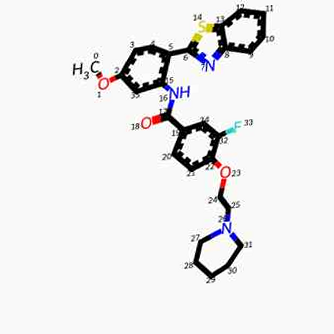 COc1ccc(-c2nc3ccccc3s2)c(NC(=O)c2ccc(OCCN3CCCCC3)c(F)c2)c1